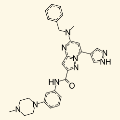 CN1CCN(c2cccc(NC(=O)c3cc4nc(N(C)Cc5ccccc5)cc(-c5cn[nH]c5)n4n3)c2)CC1